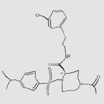 CC(=O)N1CCN(S(=O)(=O)c2ccc(C(C)C)cc2)[C@@H](C(=O)NCCc2cccc(Cl)c2)C1